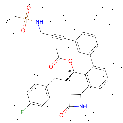 CC(=O)O[C@H](CCc1ccc(F)cc1)c1c(C2CC(=O)N2)[c]ccc1-c1cccc(C#CCNS(C)(=O)=O)c1